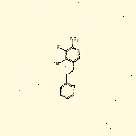 O=[N+]([O-])c1ccc(OCc2ccccn2)c(Br)c1F